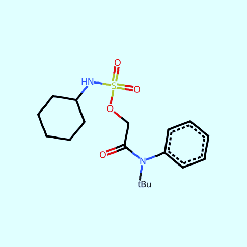 CC(C)(C)N(C(=O)COS(=O)(=O)NC1CCCCC1)c1ccccc1